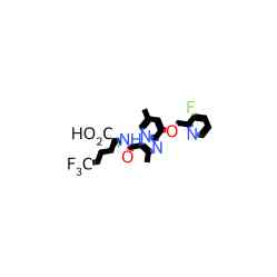 Cc1cc(OCc2ncccc2F)c2nc(C)c(C(=O)N[C@@H](CCCC(F)(F)F)C(=O)O)n2c1